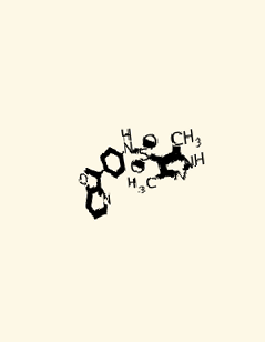 Cc1n[nH]c(C)c1S(=O)(=O)N[C@H]1CC[C@H](c2coc3cccnc32)CC1